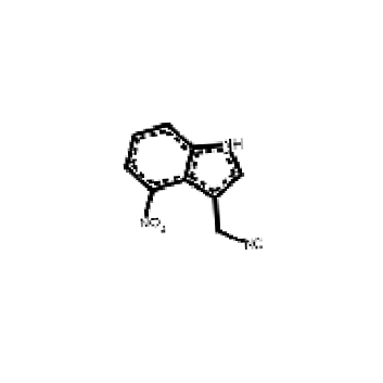 [C-]#[N+]Cc1c[nH]c2cccc([N+](=O)[O-])c12